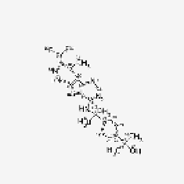 BC(B)(Nc1ncnc2c1sc1nnc(C(F)F)c(C)c12)c1ccc(C(C)(C)O)cc1